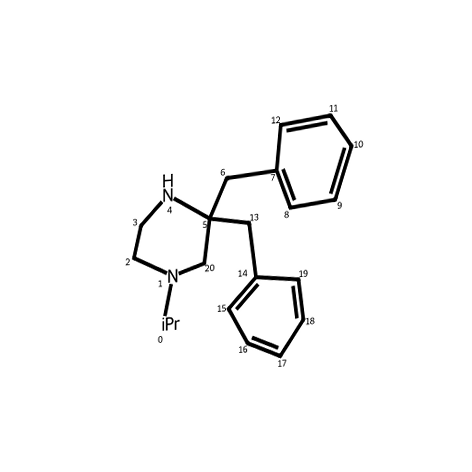 CC(C)N1CCNC(Cc2ccccc2)(Cc2ccccc2)C1